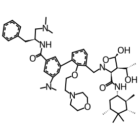 C[C@@H]1[C@@H](NC(=O)[C@@H]2[C@H]([C@H](C)O)[C@H](O)ON2Cc2cccc(-c3cc(C(=O)N[C@@H](Cc4ccccc4)CN(C)C)cc(N(C)C)c3)c2OCCN2CCOCC2)C[C@@H](C)C(C)(C)[C@H]1C